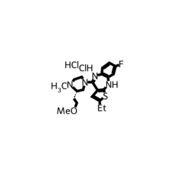 CCc1cc2c(s1)Nc1cc(F)ccc1N=C2N1CCN(C)[C@@H](CCOC)C1.Cl.Cl